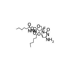 CCCCCC(=O)OC[C@@]1(N=[N+]=[N-])OC[C@](F)(n2ccc(N)nc2=O)[C@@H]1OC(=O)CCCCC